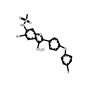 CCOC(=O)c1c(-c2ccc(Oc3ccc(F)cc3)cc2)oc2cc(NS(C)(=O)=O)c(C(C)=O)cc12